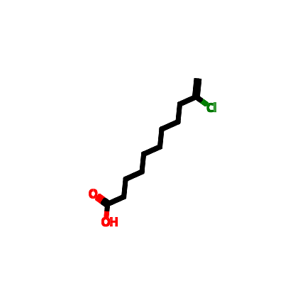 C=C(Cl)CCCCCCCCC(=O)O